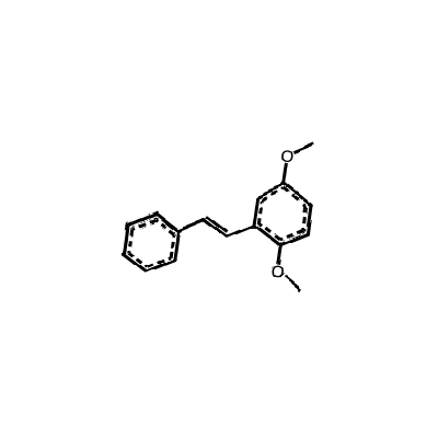 COc1ccc(OC)c(/C=C/c2ccccc2)c1